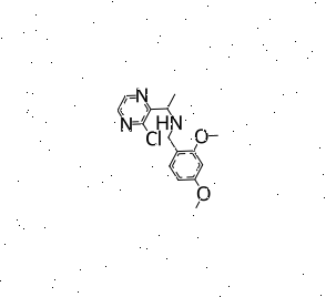 COc1ccc(CNC(C)c2nccnc2Cl)c(OC)c1